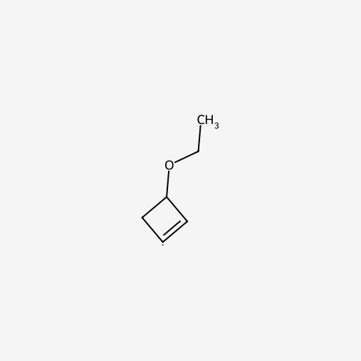 CCOC1C=[C]C1